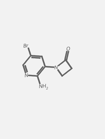 Nc1ncc(Br)cc1N1CCC1=O